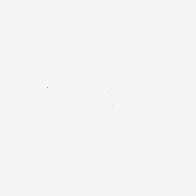 N#Cc1ccc(NC(=O)c2ccccc2C(=O)O)cc1